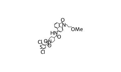 COCCCN1C(=O)c2cccc3c(NC(=O)C4CCN(S(=O)(=O)c5cc(Cl)sc5Cl)CC4)ccc1c23